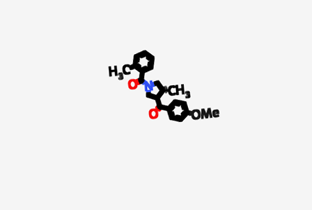 COc1ccc(C(=O)C2CN(C(=O)c3ccccc3C)C[C@@H]2C)cc1